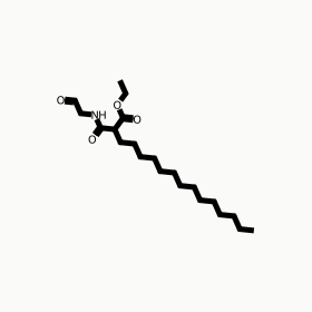 CCCCCCCCCCCCCCC(C(=O)NCC=O)C(=O)OCC